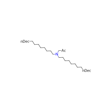 CCCCCCCCCCCCCCCCCCN(CCCCCCCCCCCCCCCCCC)CC(C)=O